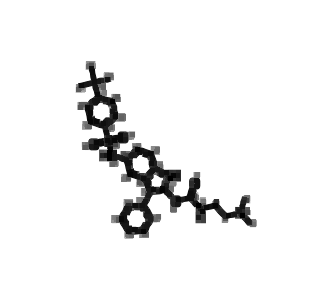 CN(C)CCNC(=O)Oc1[nH]c2ccc(NS(=O)(=O)c3ccc(C(C)(C)C)cc3)cc2c1-c1ccccc1